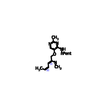 C=N/C(=C\C=C/C)COc1cnc(C)nc1NCCCCC